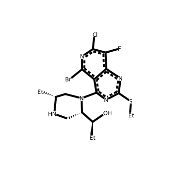 CCSc1nc(N2C[C@@H](CC)NC[C@H]2[C@@H](O)CC)c2c(Br)nc(Cl)c(F)c2n1